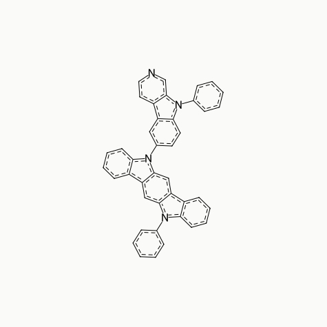 c1ccc(-n2c3ccc(-n4c5ccccc5c5cc6c(cc54)c4ccccc4n6-c4ccccc4)cc3c3ccncc32)cc1